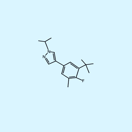 Cc1cc(-c2cnn(C(C)C)c2)cc(C(C)(C)C)c1F